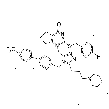 O=c1nc(SCc2ccc(F)cc2)n(Cc2nnc(CCCN3CCCCC3)n2Cc2ccc(-c3ccc(C(F)(F)F)cc3)cc2)c2c1CCC2